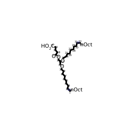 CCCCCCCC/C=C\CCCCCCCCOCC(COC(=O)CCCC(=O)O)OCCCCCCCC/C=C\CCCCCCCC